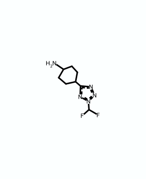 NC1CCC(c2nnn(C(F)F)n2)CC1